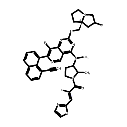 C#Cc1cccc2cccc(-c3ncc4c(N(C)C5CCN(C(=O)/C(F)=C/c6nccs6)C5C)nc(OC[C@@]56CCCN5CC(F)C6)nc4c3F)c12